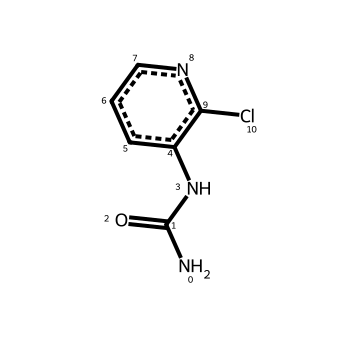 NC(=O)Nc1cccnc1Cl